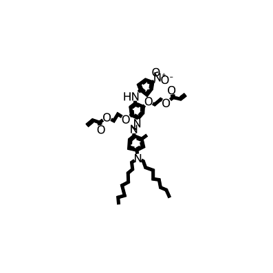 C=CC(=O)OCCOc1cc(Nc2ccc([N+](=O)[O-])cc2)c(OCCOC(=O)C=C)cc1/N=N/c1ccc(N(CCCCCCCC)CCCCCCCC)cc1C